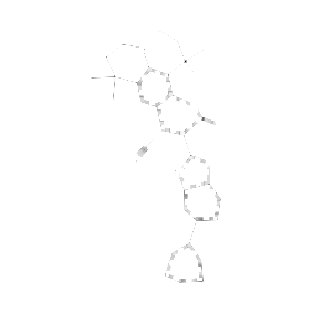 CC1(C)CCN2CCC(C)(C)c3c2c1cc1c(C#N)c(-c2nc4cc(-c5ccccc5)ccc4s2)c(=O)oc31